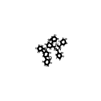 c1ccc(-c2nc(-c3ccccc3)nc(-c3cc(-n4c5ccccc5c5cc6c(cc54)oc4ccccc46)cc4sc5ccccc5c34)n2)cc1